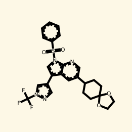 O=S(=O)(c1ccccc1)n1cc(-c2cnn(C(F)(F)F)c2)c2cc(C3CCC4(CC3)OCCO4)cnc21